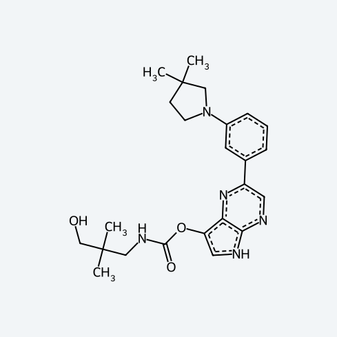 CC(C)(CO)CNC(=O)Oc1c[nH]c2ncc(-c3cccc(N4CCC(C)(C)C4)c3)nc12